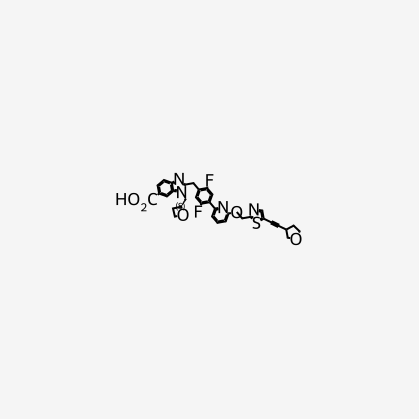 O=C(O)c1ccc2nc(Cc3cc(F)c(-c4cccc(OCc5ncc(C#CC6CCOC6)s5)n4)cc3F)n(C[C@@H]3CCO3)c2c1